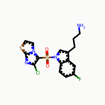 NCCCc1cn(S(=O)(=O)c2c(Cl)nc3sccn23)c2ccc(F)cc12